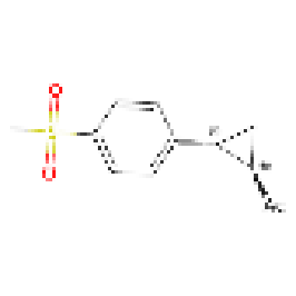 CC(=O)[C@@H]1C[C@H]1c1ccc(S(C)(=O)=O)cc1